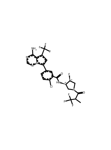 CC(C(=O)N1C[C@H](F)[C@H](NC(=O)c2cc(-c3cc(C(F)(F)F)c4c(N)ncnn34)ccc2Cl)C1)C(F)(F)F